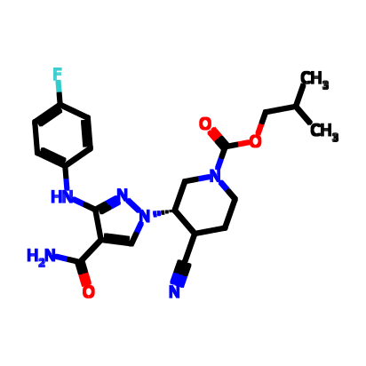 CC(C)COC(=O)N1CCC(C#N)[C@H](n2cc(C(N)=O)c(Nc3ccc(F)cc3)n2)C1